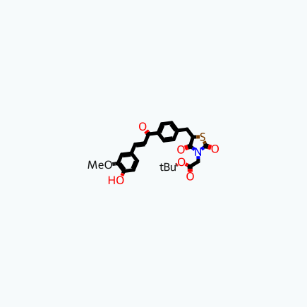 COc1cc(C=CC(=O)c2ccc(CC3SC(=O)N(CC(=O)OC(C)(C)C)C3=O)cc2)ccc1O